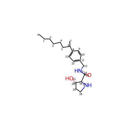 CCCCCCC(C)c1ccc(CNC(=O)C2NCC[C@@H]2O)cc1